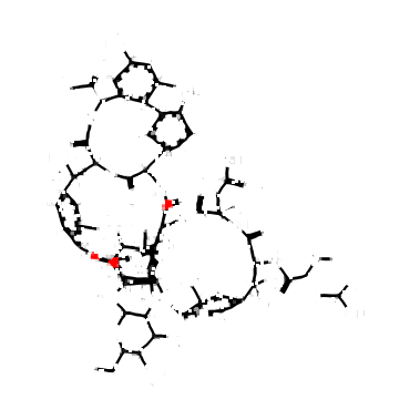 CN[C@H](CC(C)C)C(=O)NC1C(=O)N[C@@H](CC(N)=O)C(=O)N[C@H]2C(=O)NC3C(=O)N[C@H](C(=O)N[C@@H](C(=O)O)c4cc(O)cc(O)c4-c4cc3ccc4O)[C@H](O)c3ccc(c(Cl)c3)Oc3cc2cc(c3OC2OC(CO)C(O)C(O)C2OC2CC(C)(N)C(O)C(C)O2)Oc2ccc(cc2Cl)[C@H]1O